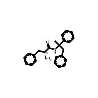 CC(Cc1ccccc1)(NC(=O)[C@H](N)Cc1ccccc1)c1ccccc1